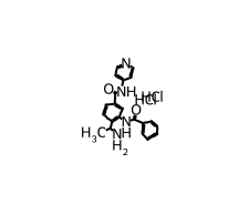 CC(N)c1ccc(C(=O)Nc2ccncc2)cc1NC(=O)c1ccccc1.Cl.Cl